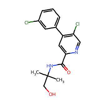 CC(C)(CO)NC(=O)c1cc(-c2cccc(Cl)c2)c(Cl)cn1